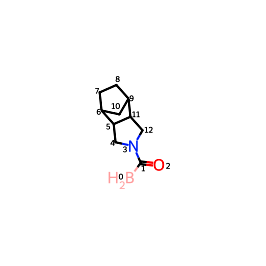 BC(=O)N1CC2C3CCC(C3)C2C1